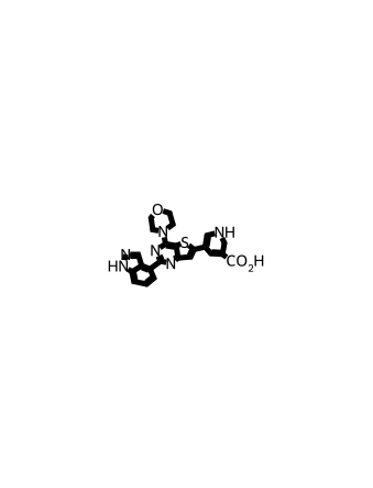 O=C(O)C1=CC(c2cc3nc(-c4cccc5[nH]ncc45)nc(N4CCOCC4)c3s2)=CNC1